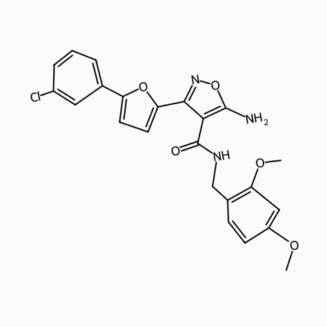 COc1ccc(CNC(=O)c2c(-c3ccc(-c4cccc(Cl)c4)o3)noc2N)c(OC)c1